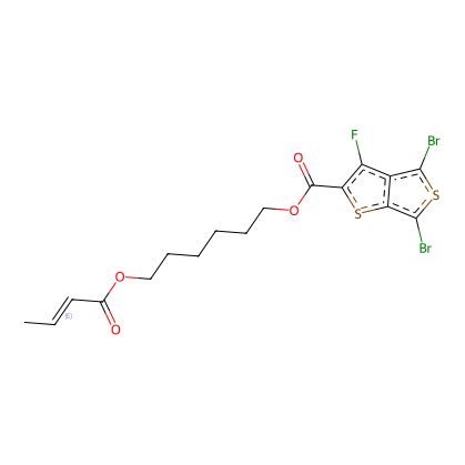 C/C=C/C(=O)OCCCCCCOC(=O)c1sc2c(Br)sc(Br)c2c1F